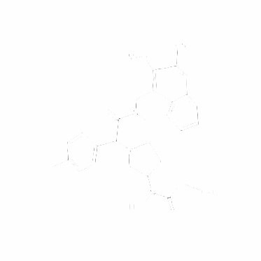 COc1c(C#N)cc2ccccc2c1CN(C)C(=O)C(c1ccc(F)cc1)N1CCC(N(C)C(=O)OC(C)(C)C)C1